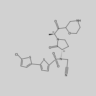 C[C@@H](C(=O)C1CNCCO1)N1CC[C@H](N(CC#N)S(=O)(=O)c2ccc(-c3ccc(Cl)s3)s2)C1=O